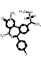 CNS(=O)(=O)C(C)c1ccc2c(c1)-c1cn(C)c(=O)cc1[C@H](C)N=C2c1ccc(F)cc1